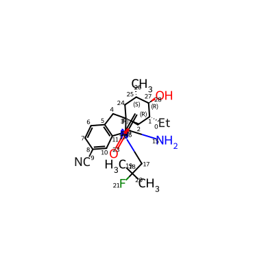 CC[C@@H]1C[C@@]2(Cc3ccc(C#N)cc3C23N=C(N)N(CC(C)(C)F)C3=O)C[C@H](C)[C@H]1O